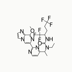 CCN(C(=O)NC(CCC(F)(F)F)C(F)(F)F)C(C)c1ccnc(-c2cn3ccnc3c(OC)n2)n1